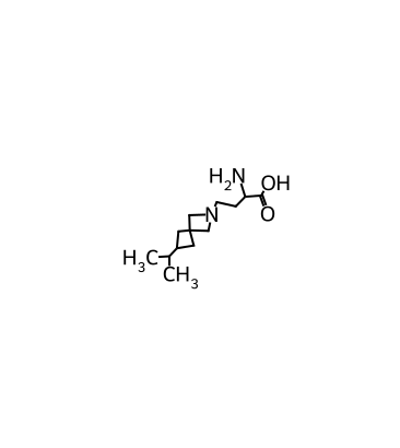 CC(C)C1CC2(C1)CN(CCC(N)C(=O)O)C2